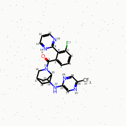 O=C(c1cccc(F)c1-c1ncccn1)N1CC2CCC1C(Nc1cnc(C(F)(F)F)cn1)C2